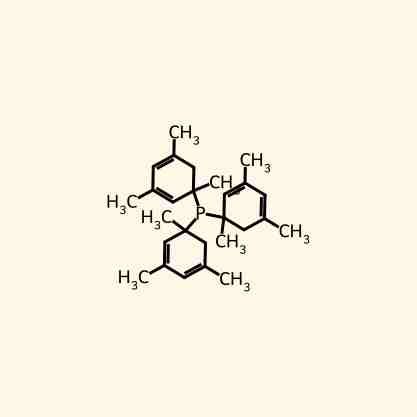 CC1=CC(C)(P(C2(C)C=C(C)C=C(C)C2)C2(C)C=C(C)C=C(C)C2)CC(C)=C1